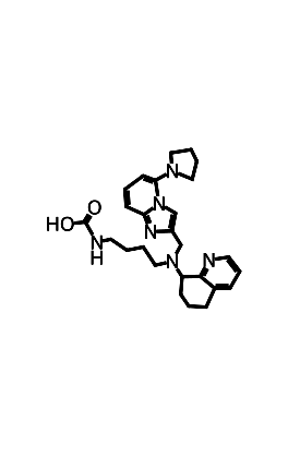 O=C(O)NCCCCN(Cc1cn2c(N3CCCC3)cccc2n1)C1CCCc2cccnc21